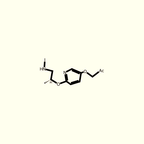 CC(=O)COc1ccc(O[C@H](C)CNI)nc1